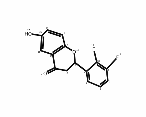 O=C1CC(c2cccc(F)c2F)Oc2ccc(O)cc21